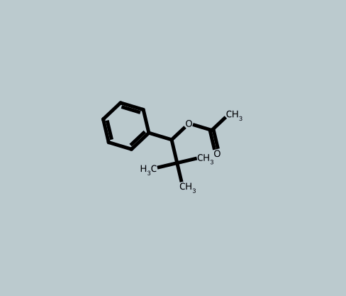 CC(=O)OC(c1ccccc1)C(C)(C)C